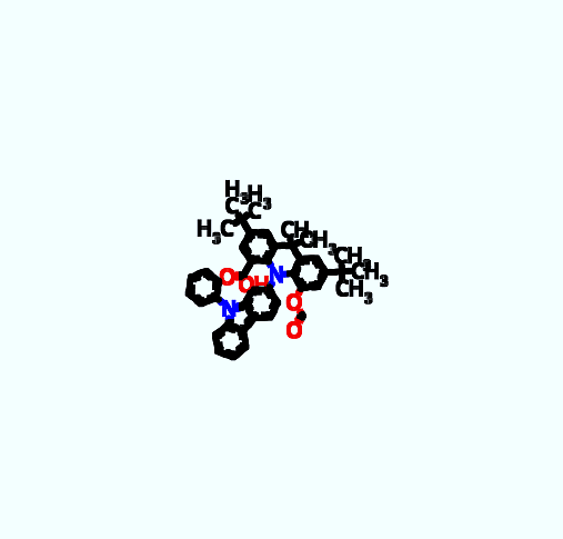 CC(C)(C)c1cc(OC=O)c2c(c1)C(C)(C)c1cc(C(C)(C)C)cc(C(=O)O)c1N2c1ccc2c3ccccc3n(-c3ccccc3)c2c1